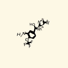 Nc1cc(C(O)Nc2nnc(Br)s2)ccc1OC(F)(F)F